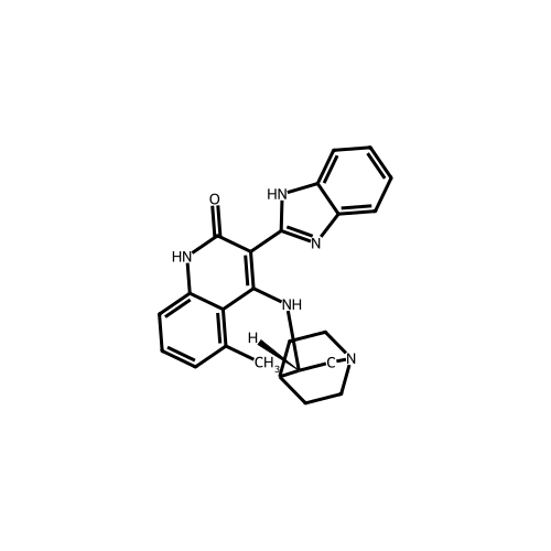 Cc1cccc2[nH]c(=O)c(-c3nc4ccccc4[nH]3)c(N[C@@H]3CN4CCC3CC4)c12